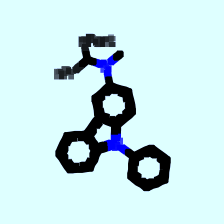 CCCCCC(CCC)N(C)c1ccc2c(c1)c1ccccc1n2-c1ccccc1